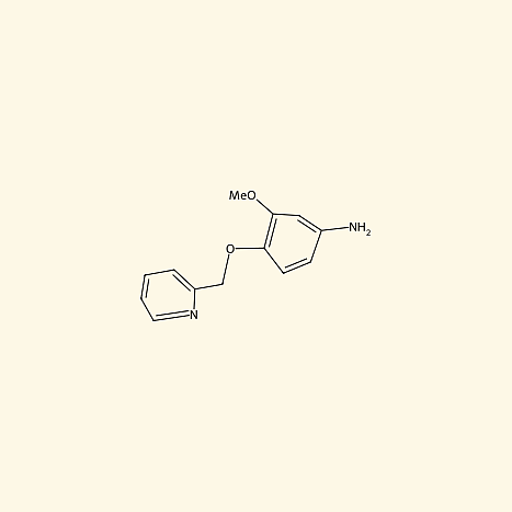 COc1cc(N)ccc1OCc1ccccn1